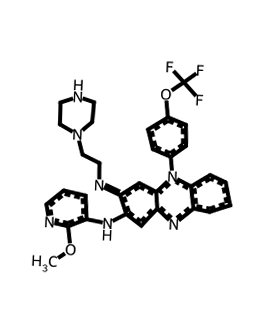 COc1ncccc1Nc1cc2nc3ccccc3n(-c3ccc(OC(F)(F)F)cc3)c-2cc1=NCCN1CCNCC1